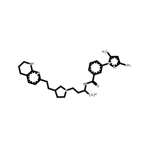 Cc1cc(C)n(-c2cccc(C(=O)NC(CCN3CCC(CCc4ccc5c(n4)NCCC5)C3)C(=O)O)c2)n1